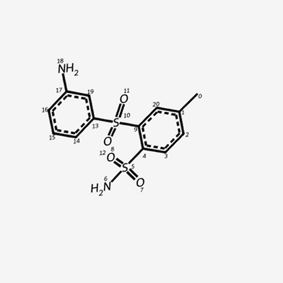 Cc1ccc(S(N)(=O)=O)c(S(=O)(=O)c2cccc(N)c2)c1